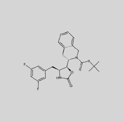 CC(C)(C)OC(=O)N1Cc2ccccc2C[C@H]1[C@H]1OC(=O)N[C@H]1Cc1cc(F)cc(F)c1